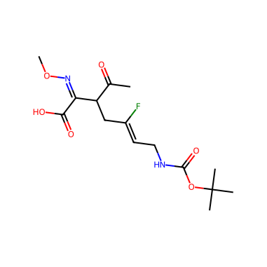 CO/N=C(\C(=O)O)C(C/C(F)=C/CNC(=O)OC(C)(C)C)C(C)=O